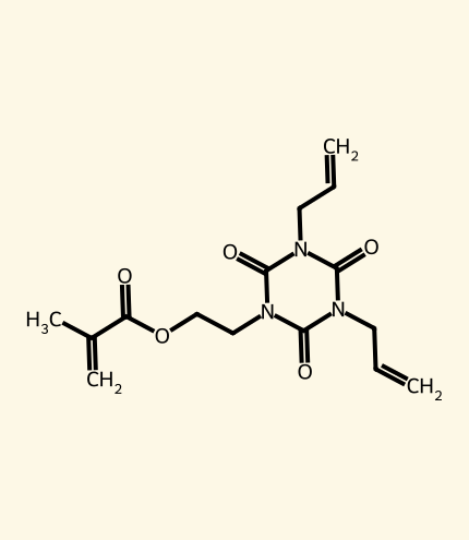 C=CCn1c(=O)n(CC=C)c(=O)n(CCOC(=O)C(=C)C)c1=O